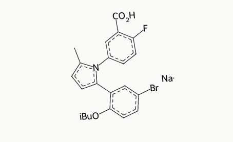 Cc1ccc(-c2cc(Br)ccc2OCC(C)C)n1-c1ccc(F)c(C(=O)O)c1.[Na]